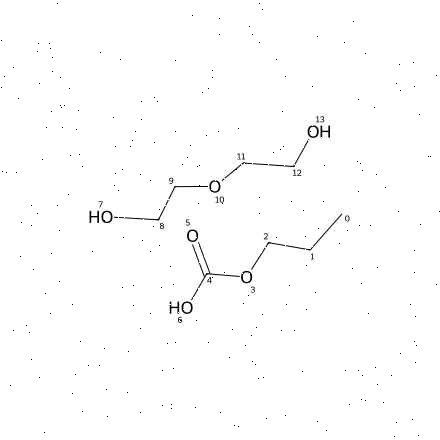 CCCOC(=O)O.OCCOCCO